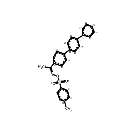 CC(=NOS(=O)(=O)c1ccc(C)cc1)c1ccc(-c2ccc(-c3ccccc3)cc2)cc1